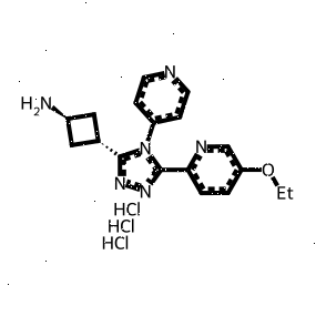 CCOc1ccc(-c2nnc([C@H]3C[C@H](N)C3)n2-c2ccncc2)nc1.Cl.Cl.Cl